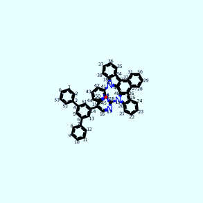 c1ccc(-c2cc(-c3ccccc3)cc(-c3cnc(-n4c5ccccc5c5c6ccccc6c6c7ccccc7n(-c7ccccc7)c6c54)nc3)c2)cc1